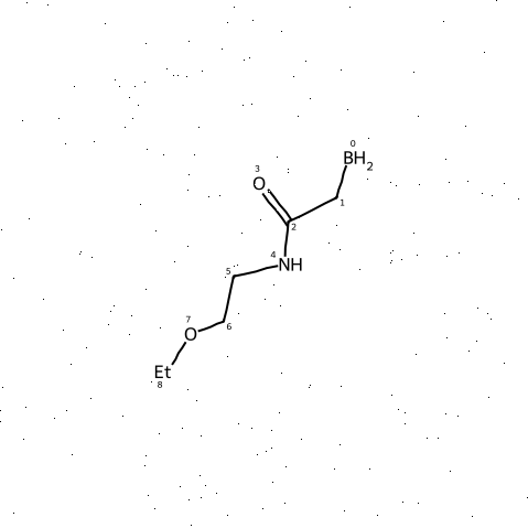 BCC(=O)NCCOCC